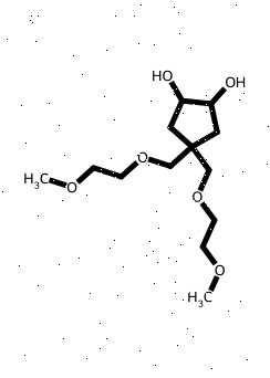 COCCOCC1(COCCOC)CC(O)C(O)C1